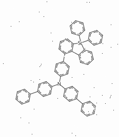 c1ccc(-c2ccc(N(c3ccc(-c4ccccc4)cc3)c3ccc(-c4cccc5c4-c4ccccc4[Si]5(c4ccccc4)c4ccccc4)cc3)cc2)cc1